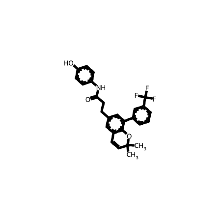 CC1(C)C=Cc2cc(CCC(=O)Nc3ccc(O)cc3)cc(-c3cccc(C(F)(F)F)c3)c2O1